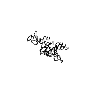 CC(C1OCC(C)(C)CO1)[C@H]1CC[C@H]2[C@@H]3C=CC4C[C@@H](OC(=O)Nc5ccccc5)[C@H](O)[C@H](O)[C@]4(C)[C@H]3CC[C@]12C